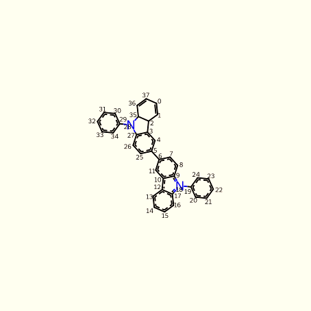 C1=CC2c3cc(-c4ccc5c(c4)c4ccccc4n5-c4ccccc4)ccc3N(c3ccccc3)C2C=C1